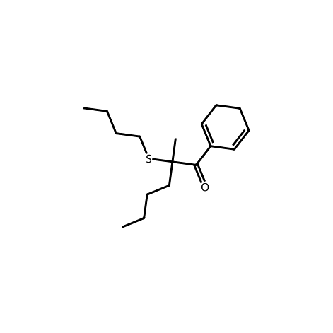 CCCCSC(C)(CCCC)C(=O)C1=CCCC=C1